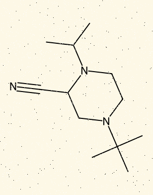 CC(C)N1CCN(C(C)(C)C)CC1C#N